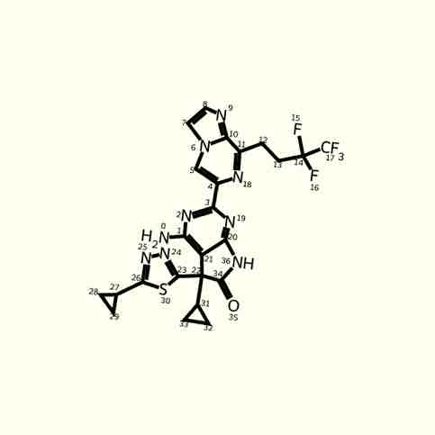 Nc1nc(-c2cn3ccnc3c(CCC(F)(F)C(F)(F)F)n2)nc2c1C(c1nnc(C3CC3)s1)(C1CC1)C(=O)N2